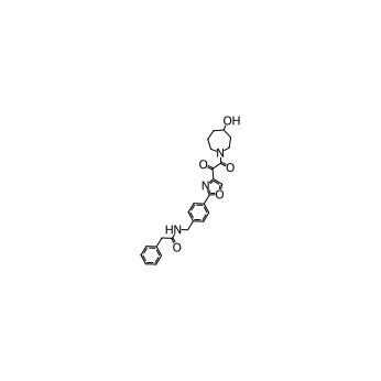 O=C(Cc1ccccc1)NCc1ccc(-c2nc(C(=O)C(=O)N3CCCC(O)CC3)co2)cc1